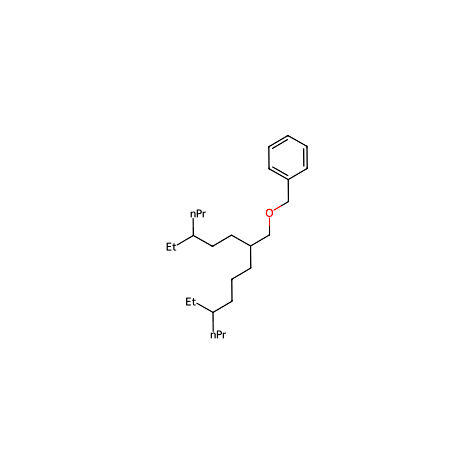 CCCC(CC)CCCC(CCC(CC)CCC)COCc1ccccc1